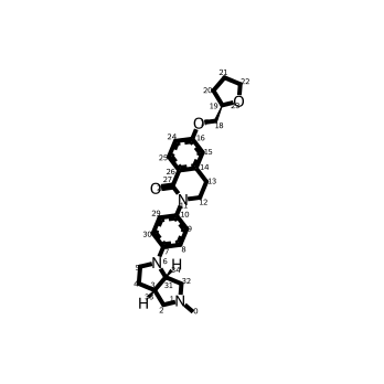 CN1C[C@@H]2CCN(c3ccc(N4CCc5cc(OC[C@H]6CCCO6)ccc5C4=O)cc3)[C@@H]2C1